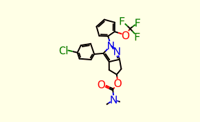 CN(C)C(=O)OC1Cc2nn(-c3ccccc3OC(F)(F)F)c(-c3ccc(Cl)cc3)c2C1